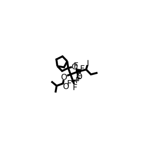 CCC(I)C(=O)OC1(C(OC(=O)C(C)C)(C(F)(F)F)C(F)(F)F)CC2CCC1C2